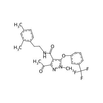 CC(=O)c1nn(C)c(Oc2cccc(C(F)(F)F)c2)c1C(=O)NCCc1ccc(C)cc1C